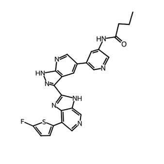 CCCC(=O)Nc1cncc(-c2cnc3[nH]nc(-c4nc5c(-c6ccc(F)s6)cncc5[nH]4)c3c2)c1